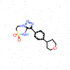 O=S1(=O)CCn2nnc(-c3ccc(C4CCOCC4)cc3)c2N1